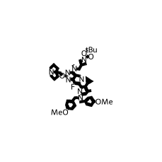 COc1ccc(CN(Cc2ccc(OC)cc2)c2cc(C)c(C3CC3)c(-c3ncc4c(N(C)CC5CN(C(=O)OC(C)(C)C)C5)nc(OCC56CCCN5CCC6)nc4c3F)n2)cc1